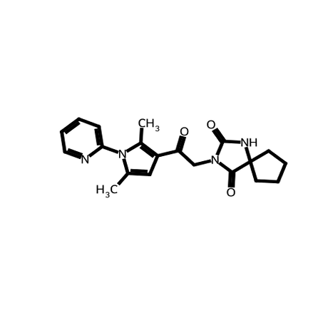 Cc1cc(C(=O)CN2C(=O)NC3(CCCC3)C2=O)c(C)n1-c1ccccn1